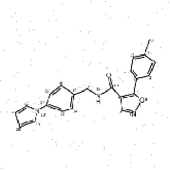 Cc1ccc(-c2oncc2C(=O)NCc2ccc(-n3cccc3)cc2)cc1